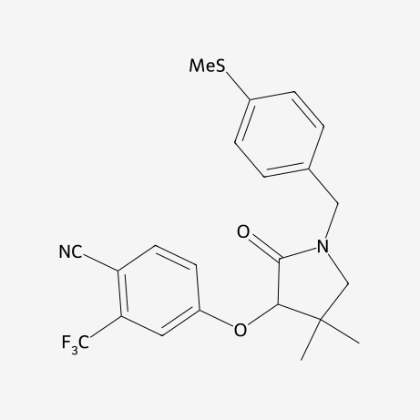 CSc1ccc(CN2CC(C)(C)C(Oc3ccc(C#N)c(C(F)(F)F)c3)C2=O)cc1